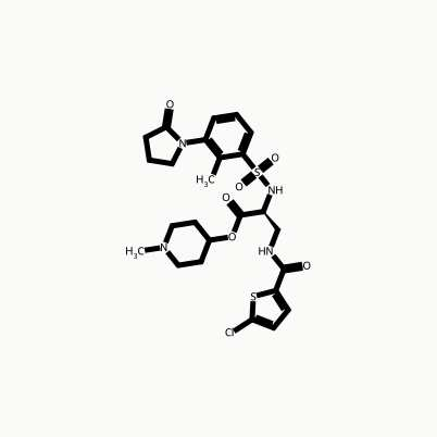 Cc1c(N2CCCC2=O)cccc1S(=O)(=O)N[C@@H](CNC(=O)c1ccc(Cl)s1)C(=O)OC1CCN(C)CC1